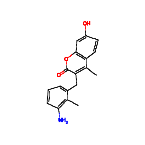 Cc1c(N)cccc1Cc1c(C)c2ccc(O)cc2oc1=O